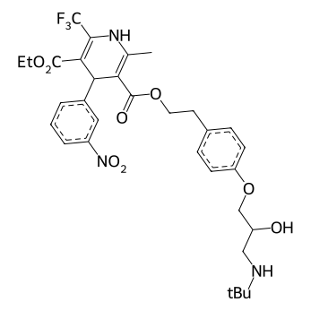 CCOC(=O)C1=C(C(F)(F)F)NC(C)=C(C(=O)OCCc2ccc(OCC(O)CNC(C)(C)C)cc2)C1c1cccc([N+](=O)[O-])c1